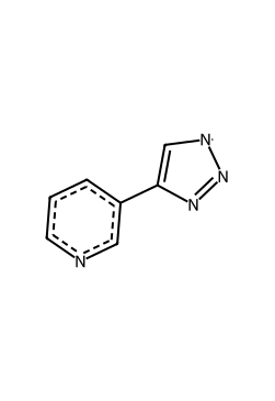 C1=C(c2cccnc2)N=N[N]1